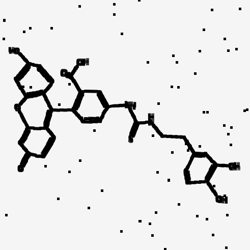 O=C(O)c1cc(NC(=S)NCCc2ccc(O)c(O)c2)ccc1-c1c2ccc(=O)cc-2oc2cc(O)ccc12